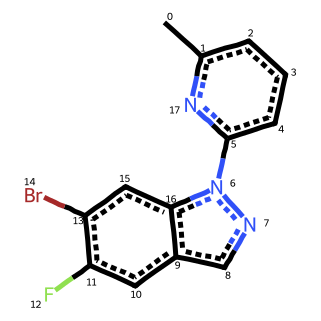 Cc1cccc(-n2ncc3cc(F)c(Br)cc32)n1